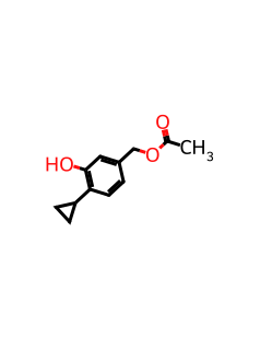 CC(=O)OCc1ccc(C2CC2)c(O)c1